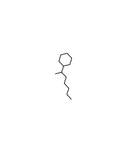 CCCCC[C](C)C1CCCCC1